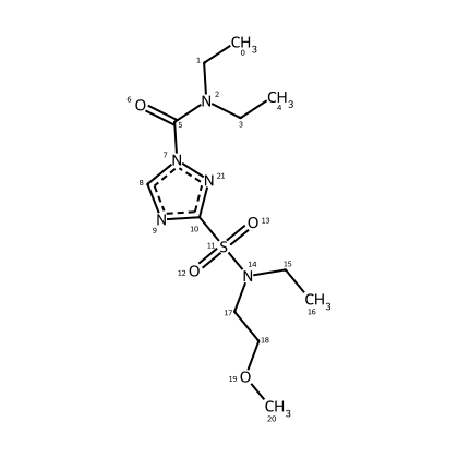 CCN(CC)C(=O)n1cnc(S(=O)(=O)N(CC)CCOC)n1